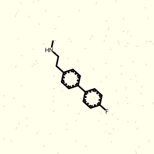 [CH2]NCCc1ccc(-c2ccc(F)cc2)cc1